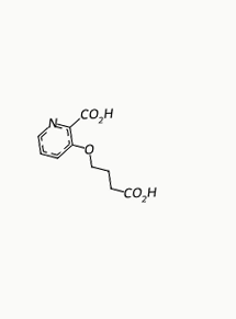 O=C(O)CCCOc1cccnc1C(=O)O